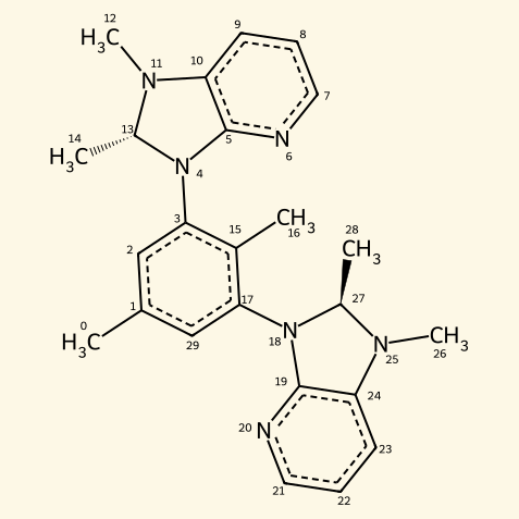 Cc1cc(N2c3ncccc3N(C)[C@H]2C)c(C)c(N2c3ncccc3N(C)[C@@H]2C)c1